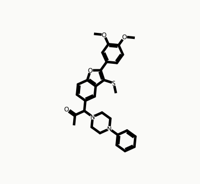 COc1ccc(-c2oc3ccc(C(C(C)=O)N4CCN(c5ccccc5)CC4)cc3c2SC)cc1OC